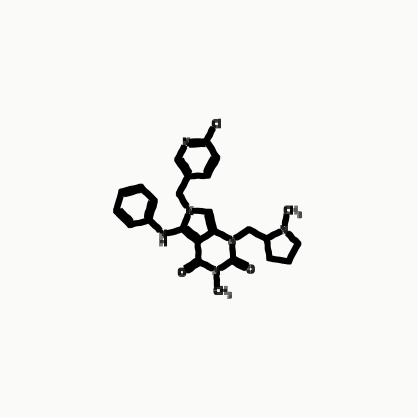 CN1CCCC1Cn1c(=O)n(C)c(=O)c2c(Nc3ccccc3)n(Cc3ccc(Cl)nc3)cc21